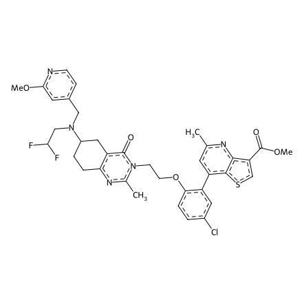 COC(=O)c1csc2c(-c3cc(Cl)ccc3OCCn3c(C)nc4c(c3=O)CC(N(Cc3ccnc(OC)c3)CC(F)F)CC4)cc(C)nc12